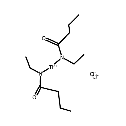 CCCC(=O)[N](CC)[Ti+2][N](CC)C(=O)CCC.[Cl-].[Cl-]